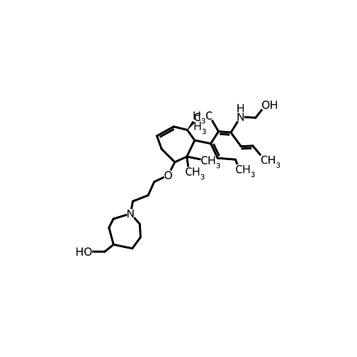 CC=C/C(NCO)=C(C)\C(=C/CC)C1[C@H](C)C=CCC(OCCCN2CCCC(CO)CC2)C1(C)C